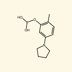 Cc1ccc(N2CCCC2)cc1OB(O)O